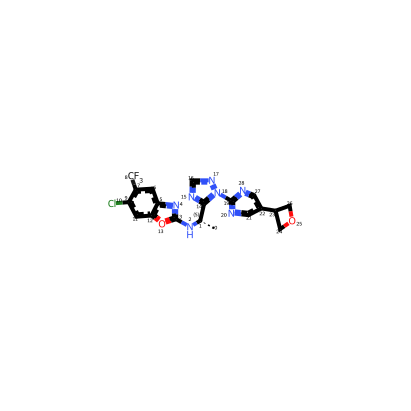 C[C@H](Nc1nc2cc(C(F)(F)F)c(Cl)cc2o1)c1ncnn1-c1ncc(C2COC2)cn1